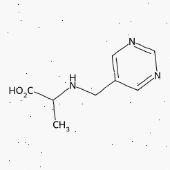 CC(NCc1cncnc1)C(=O)O